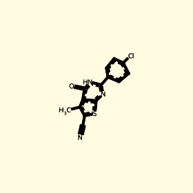 Cc1c(C#N)sc2nc(-c3ccc(Cl)cc3)[nH]c(=O)c12